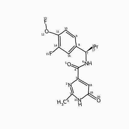 Cc1nc(C(=O)N[C@@H](c2ccc(OF)c(F)c2)C(C)C)cc(=O)[nH]1